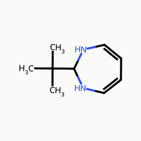 CC(C)(C)C1NC=CC=CN1